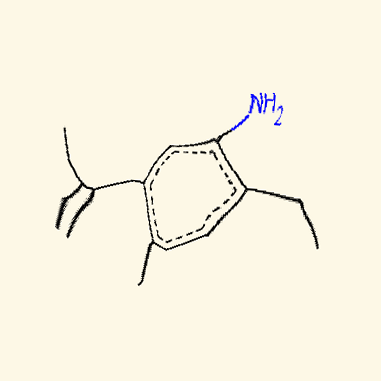 C=C(C)c1cc(N)c(CC)cc1C